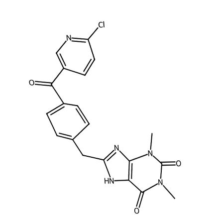 Cn1c(=O)c2[nH]c(Cc3ccc(C(=O)c4ccc(Cl)nc4)cc3)nc2n(C)c1=O